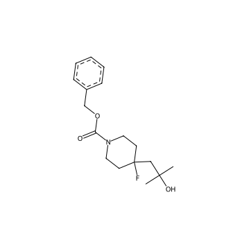 CC(C)(O)CC1(F)CCN(C(=O)OCc2ccccc2)CC1